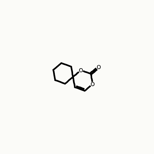 O=C1OC=CC2(CCCCC2)O1